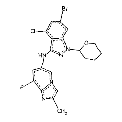 Cc1cn2cc(Nc3nn(C4CCCCO4)c4cc(Br)cc(Cl)c34)cc(F)c2n1